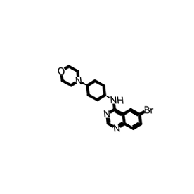 Brc1ccc2ncnc(N[C@H]3CC[C@H](N4CCOCC4)CC3)c2c1